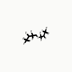 FC(C(F)(F)F)C(F)(F)COC(F)(F)C(F)C(F)(F)F